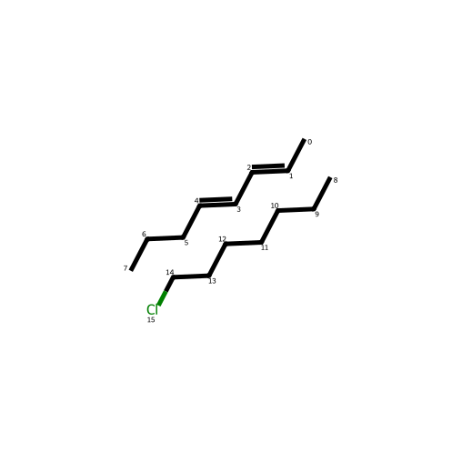 CC=CC=CCCC.CCCCCCCCl